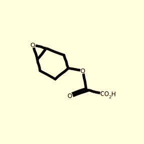 O=C(O)C(=O)OC1CCC2OC2C1